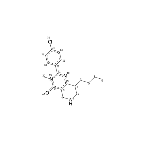 CCCCC1CNCc2c1nc(-c1ccc(Cl)cc1)n(C)c2=O